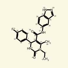 CCN1C(=O)NC(c2ccc(F)cc2)C(C(=O)Nc2ccc3[nH]ncc3c2)=C1C